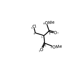 COC(=O)C(CCl)C(=O)OC